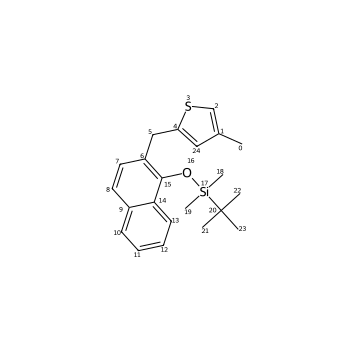 Cc1csc(Cc2ccc3ccccc3c2O[Si](C)(C)C(C)(C)C)c1